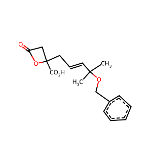 CC(C)(C=CCC1(C(=O)O)CC(=O)O1)OCc1ccccc1